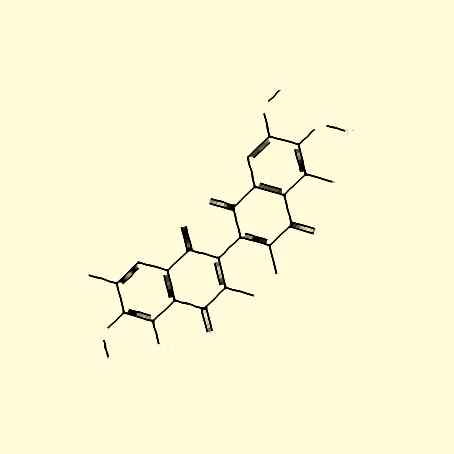 CC1=C(C2=C(C)C(=O)c3c(cc(OP)c(OP)c3C(C)C)C2=O)C(=O)c2cc(C)c(OP)c(C(C)C)c2C1=O